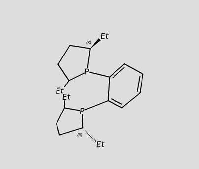 CCC1CC[C@@H](CC)P1c1ccccc1P1C(CC)CC[C@H]1CC